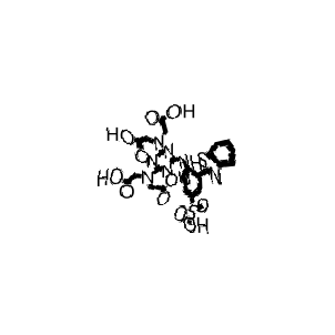 O=C(O)CN(CC(=O)O)c1nc(Nc2ccc(S(=O)(=O)O)cc2-c2nc3ccccc3s2)nc(N(CC(=O)O)CC(=O)O)n1